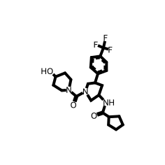 O=C(NC1CC(c2ccc(C(F)(F)F)cc2)CN(C(=O)N2CCC(O)CC2)C1)C1CCCC1